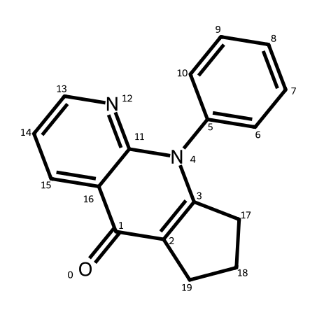 O=c1c2c(n(-c3ccccc3)c3ncccc13)CCC2